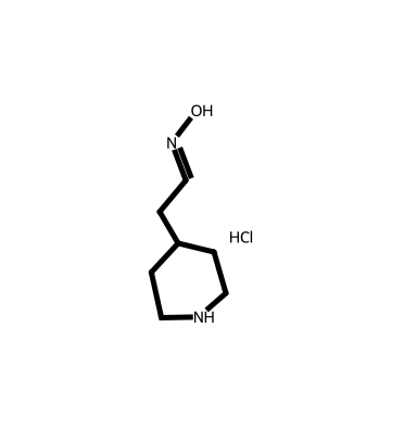 Cl.ON=CCC1CCNCC1